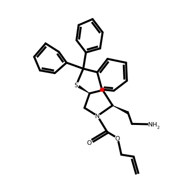 C=CCOC(=O)N1C[C@@H](SC(c2ccccc2)(c2ccccc2)c2ccccc2)C[C@H]1CCN